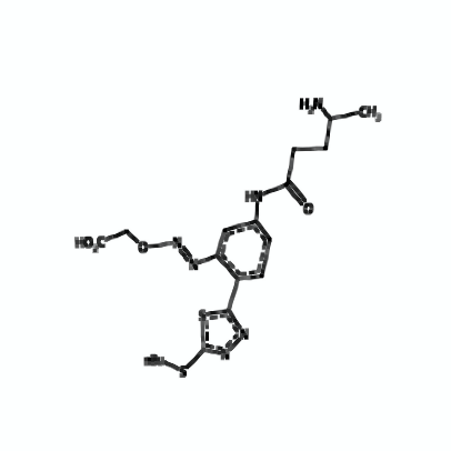 CCCCSc1nnc(-c2ccc(NC(=O)CCC(C)N)cc2N=NOCC(=O)O)s1